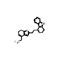 CCC1=CCCc2sc(CCC3=CCCc4[nH]c5ccccc5c43)cc21